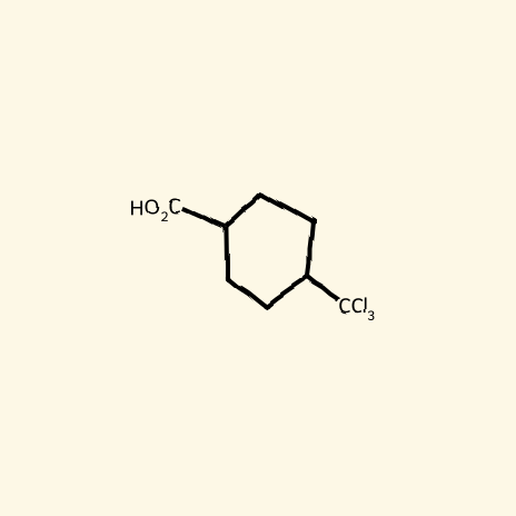 O=C(O)C1CCC(C(Cl)(Cl)Cl)CC1